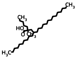 CCCCCCCCCCCCCCC(CCCCCCCCCC)CC(C)(CCCCC)C(=O)O